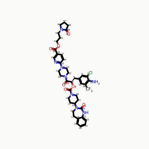 Nc1c(Cl)cc(C[C@@H](OC(=O)N2CCC(N3CCc4ccccc4NC3=O)CC2)C(=O)N2CCN(c3ccc(C(=O)OCCCN4CCCC4=O)cn3)CC2)cc1C(F)(F)F